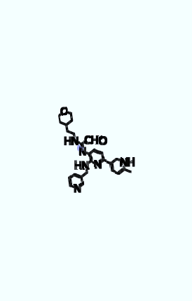 CC1=CC=C(c2ccc(/N=C(\C=O)NCCC3CCOCC3)c(NCc3cccnc3)n2)CN1